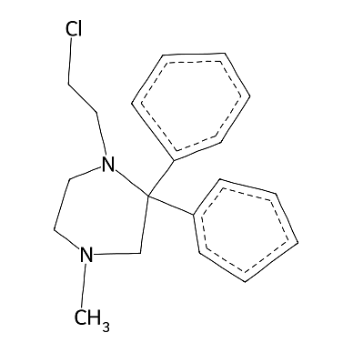 CN1CCN(CCCl)C(c2ccccc2)(c2ccccc2)C1